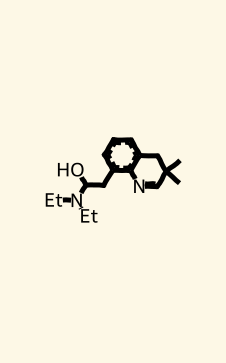 CCN(CC)C(O)Cc1cccc2c1N=CC(C)(C)C2